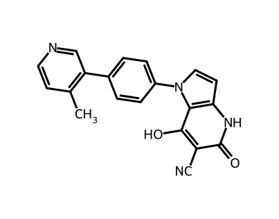 Cc1ccncc1-c1ccc(-n2ccc3[nH]c(=O)c(C#N)c(O)c32)cc1